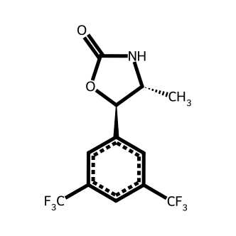 C[C@H]1NC(=O)O[C@@H]1c1cc(C(F)(F)F)cc(C(F)(F)F)c1